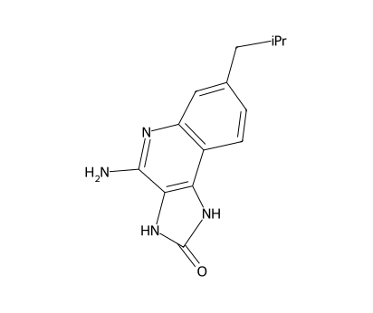 CC(C)Cc1ccc2c(c1)nc(N)c1[nH]c(=O)[nH]c12